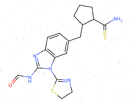 NC(=S)C1CCCC1Cc1ccc2nc(NC=O)n(C3=NCCS3)c2c1